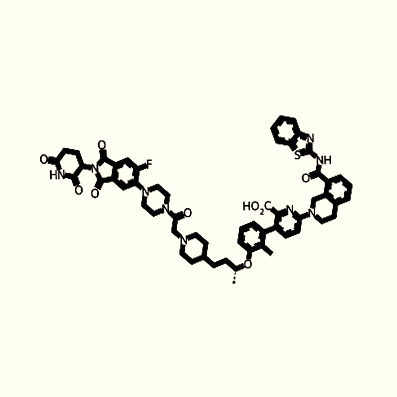 Cc1c(O[C@H](C)CCC2CCN(CC(=O)N3CCN(c4cc5c(cc4F)C(=O)N(C4CCC(=O)NC4=O)C5=O)CC3)CC2)cccc1-c1ccc(N2CCc3cccc(C(=O)Nc4nc5ccccc5s4)c3C2)nc1C(=O)O